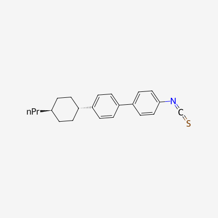 CCC[C@H]1CC[C@H](c2ccc(-c3ccc(N=C=S)cc3)cc2)CC1